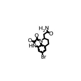 NC(=O)CC1CCc2cc(Br)cc3[nH]c(=O)c(=O)n1c23